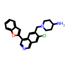 NC1CCN(Cc2cc3c(-c4cc5ccccc5o4)cncc3cc2Cl)CC1